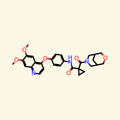 COc1cc2nccc(Oc3ccc(NC(=O)C4(C(=O)N5CC6COCC(C6)C5)CC4)cc3)c2cc1OC